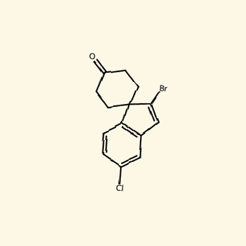 O=C1CCC2(CC1)C(Br)=Cc1cc(Cl)ccc12